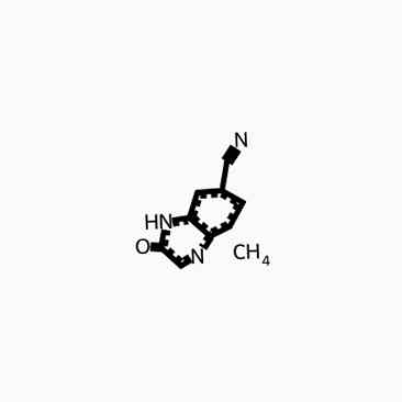 C.N#Cc1ccc2ncc(=O)[nH]c2c1